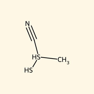 C[SH](S)C#N